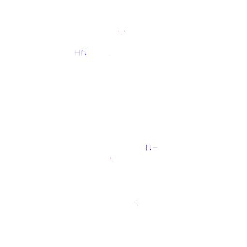 O=C(Nc1ccc2c(=O)[nH]ccc2c1)c1cccs1